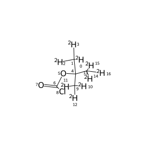 [2H]C([2H])([2H])C(OC(=O)Cl)(C([2H])([2H])[2H])C([2H])([2H])[2H]